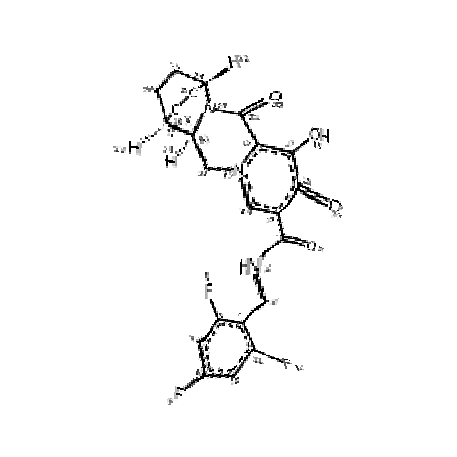 O=C(NCc1c(F)cc(F)cc1F)c1cn2c(c(O)c1=O)C(=O)N1[C@H]3CC[C@@H](CC3)[C@@H]1C2